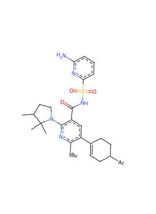 CC(=O)C1CC=C(c2cc(C(=O)NS(=O)(=O)c3cccc(N)n3)c(N3CCC(C)C3(C)C)nc2C(C)(C)C)CC1